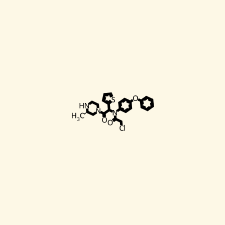 C[C@H]1CN(C(=O)C(c2cccs2)N(C(=O)CCl)c2ccc(Oc3ccccc3)cc2)CCN1